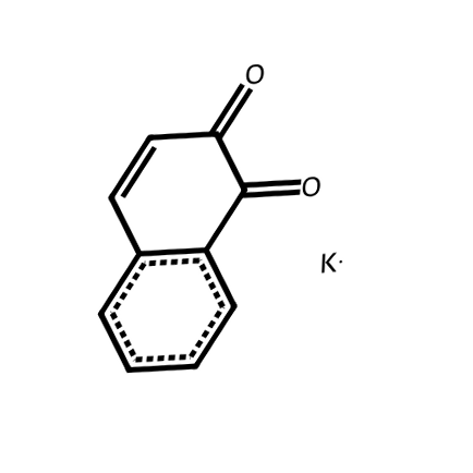 O=C1C=Cc2ccccc2C1=O.[K]